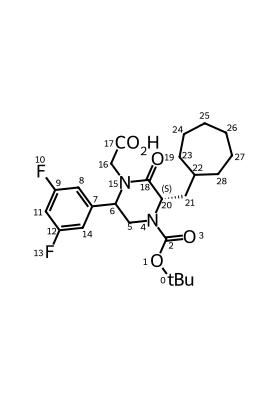 CC(C)(C)OC(=O)N1CC(c2cc(F)cc(F)c2)N(CC(=O)O)C(=O)[C@@H]1CC1CCCCCC1